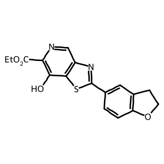 CCOC(=O)c1ncc2nc(-c3ccc4c(c3)CCO4)sc2c1O